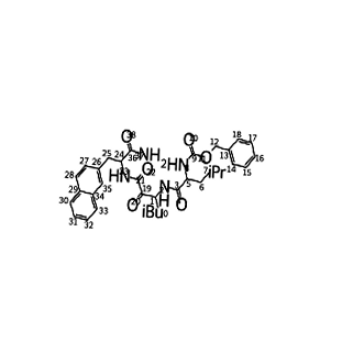 CCC(C)C(NC(=O)C(CC(C)C)NC(=O)OCc1ccccc1)C(=O)C(=O)NC(Cc1ccc2ccccc2c1)C(N)=O